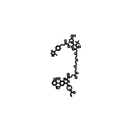 C=CC(=O)N1CCN(c2nc(NCCC(=O)N(C)CCOCCOCCOCC(=O)N[C@H](C(=O)N3C[C@H](O)C[C@H]3C(=O)NCCc3ccc(-c4scnc4C)cc3)C(C)(C)C)nc3c(F)c(-c4c(O)cccc4F)c(Cl)cc23)CC1